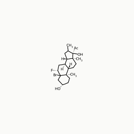 CC(=O)[C@@]1(O)C(C)C[C@H]2[C@@H]3C[C@@H](F)C4(Br)C[C@@H](O)CC[C@]4(C)[C@H]3CC[C@@]21C